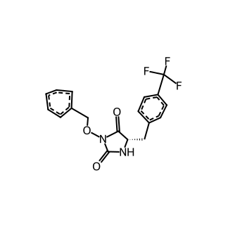 O=C1N[C@@H](Cc2ccc(C(F)(F)F)cc2)C(=O)N1OCc1ccccc1